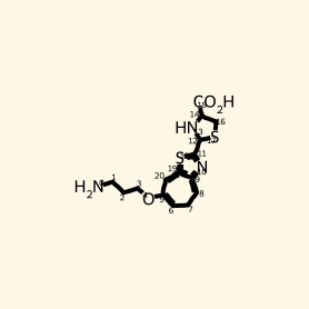 NCCCOC1=CCC=c2nc(C3NC(C(=O)O)CS3)sc2=C1